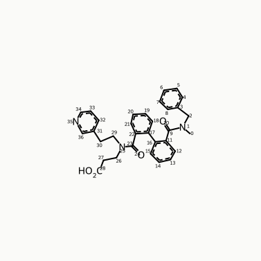 CN(Cc1ccccc1)C(=O)c1ccccc1-c1ccccc1C(=O)N(CCC(=O)O)CCc1cccnc1